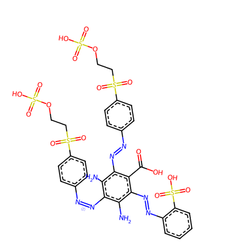 Nc1c(N=Nc2ccc(S(=O)(=O)CCOS(=O)(=O)O)cc2)c(C(=O)O)c(N=Nc2ccccc2S(=O)(=O)O)c(N)c1/N=N\c1ccc(S(=O)(=O)CCOS(=O)(=O)O)cc1